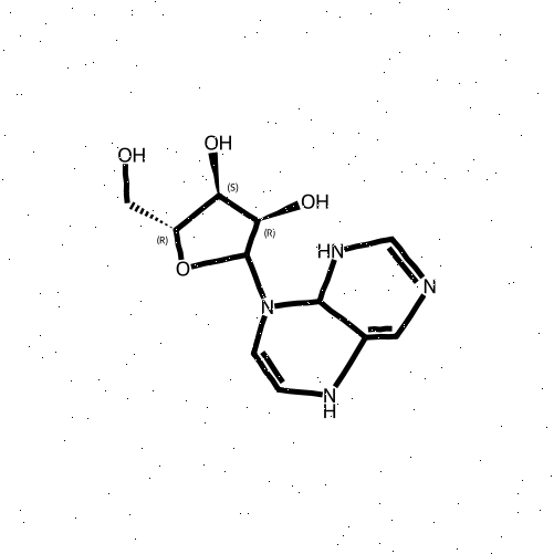 OC[C@H]1OC(N2C=CNC3=CN=CNC32)[C@H](O)[C@@H]1O